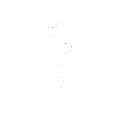 Cc1nc2c(cc1-c1cccc3cnnn13)C(=O)N(Cc1cc(OC(F)(F)F)ccc1F)CC2